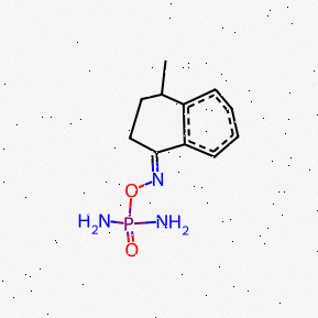 CC1CCC(=NOP(N)(N)=O)c2ccccc21